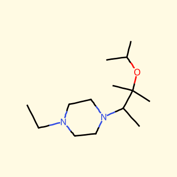 CCN1CCN(C(C)C(C)(C)OC(C)C)CC1